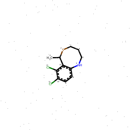 CC1SCCCNc2ccc(Cl)c(Cl)c21